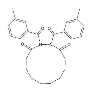 Cc1cccc(C(=O)N2C(=O)CCCCCCCCC(=O)N2C(=O)c2cccc(C)c2)c1